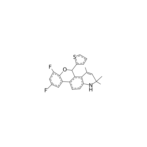 CC1=CC(C)(C)Nc2ccc3c(c21)C(c1cccs1)Oc1c(F)cc(F)cc1-3